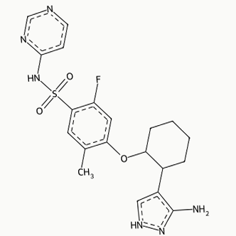 Cc1cc(S(=O)(=O)Nc2ccncn2)c(F)cc1OC1CCCCC1c1c[nH]nc1N